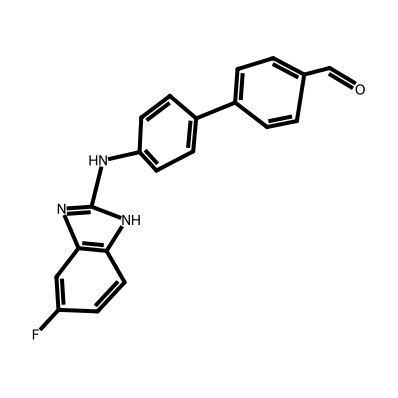 O=Cc1ccc(-c2ccc(Nc3nc4cc(F)ccc4[nH]3)cc2)cc1